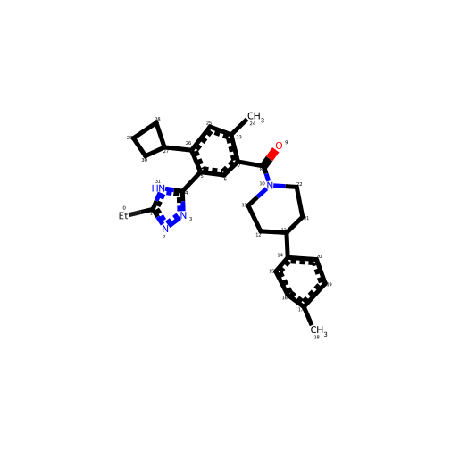 CCc1nnc(-c2cc(C(=O)N3CCC(c4ccc(C)cc4)CC3)c(C)cc2C2CCC2)[nH]1